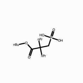 CCCCOC(=O)C(CCC)(CCC)CP(=O)(O)O